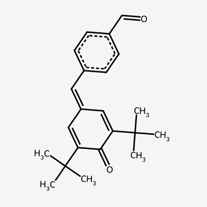 CC(C)(C)C1=CC(=Cc2ccc(C=O)cc2)C=C(C(C)(C)C)C1=O